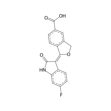 O=C1Nc2cc(F)ccc2/C1=C1\OCc2cc(C(=O)O)ccc21